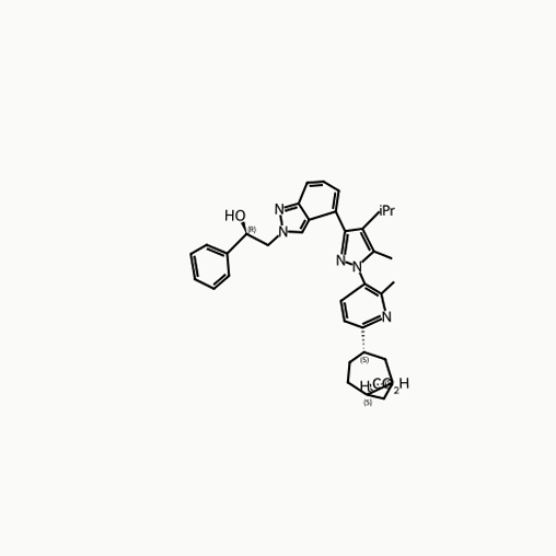 Cc1nc([C@H]2CC[C@]3(C(=O)O)C[C@@H]3C2)ccc1-n1nc(-c2cccc3nn(C[C@H](O)c4ccccc4)cc23)c(C(C)C)c1C